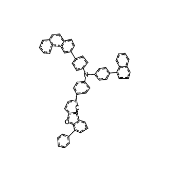 c1ccc(-c2cccc3c2oc2ccc(-c4ccc(N(c5ccc(-c6ccc7ccc8ccccc8c7c6)cc5)c5ccc(-c6cccc7ccccc67)cc5)cc4)cc23)cc1